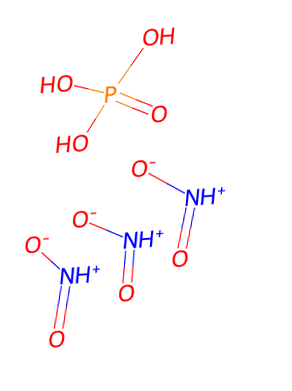 O=P(O)(O)O.O=[NH+][O-].O=[NH+][O-].O=[NH+][O-]